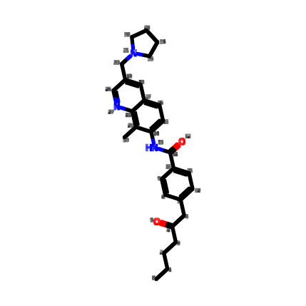 CCCCC(=O)Cc1ccc(C(=O)Nc2ccc3cc(CN4CCCC4)cnc3c2C)cc1